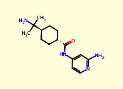 CC(C)(N)[C@H]1CC[C@H](C(=O)Nc2ccnc(N)c2)CC1